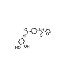 O=C(/C=C/c1ccc(O)c(O)c1)c1ccc(NC(=O)c2ccco2)cc1